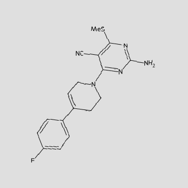 CSc1nc(N)nc(N2CC=C(c3ccc(F)cc3)CC2)c1C#N